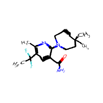 Cc1nc(N2CCCC(C)(C)CC2)c(C(N)=O)cc1C(C)(F)F